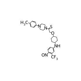 Cc1ccc(N2CCN(C(=S)COC3CCC(Nc4ccc(N=O)c(C(F)(F)F)c4)CC3)CC2)cc1